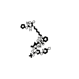 C=CC1CC1(NC(=O)[C@@H]1C[C@@H](Oc2ccc(Cl)cn2)CN1C(=O)OC(C)(C)C)C(=O)NS(=O)(=O)c1ccccc1NCCCCCCC[C@H](NC(=O)OC1CCCC1)C(=O)O